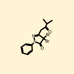 CC(C)C(=O)CC1=NN(c2ccccc2)C(=O)C1(Br)Br